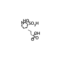 CCCS(=O)(=O)O.O=S(=O)(O)O.c1ccncc1